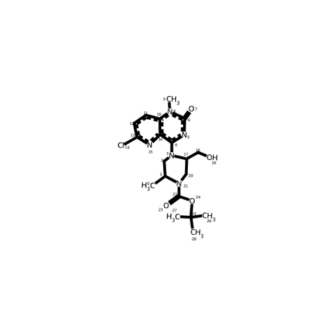 CC1CN(c2nc(=O)n(C)c3ccc(Cl)nc23)C(CO)CN1C(=O)OC(C)(C)C